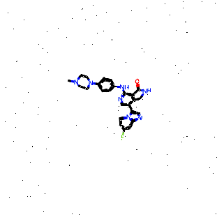 CN1CCN(c2ccc(Nc3ncc(-c4cnc5cc(F)ccn45)c4c3C(=O)NC4)cc2)CC1